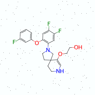 OCCOC1=CNCCC12CCN(c1cc(F)c(F)cc1Oc1cccc(F)c1)C2